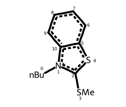 CCCC[n+]1c(SC)sc2ccccc21